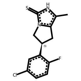 Cc1[nH]c(=S)n2c1C[C@@H](c1cc(Cl)ccc1F)C2